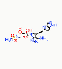 Nc1ncnc2c1c(C#Cc1ccc3[nH]ncc3n1)cn2[C@@H]1O[C@H](CNS(N)(=O)=O)[C@@H](O)[C@H]1O